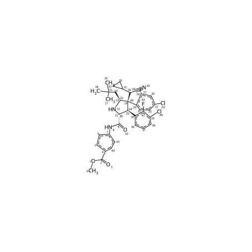 COC(=O)c1ccc(NC(=O)[C@@H]2N[C@@H](CC(C)(C)C)[C@@](c3ccc(Cl)cc3F)(C(C#N)C3CC3)[C@H]2c2cccc(Cl)c2F)cc1